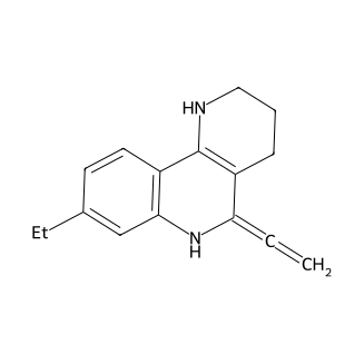 C=C=C1Nc2cc(CC)ccc2C2=C1CCCN2